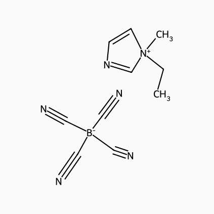 CC[N+]1(C)C=CN=C1.N#C[B-](C#N)(C#N)C#N